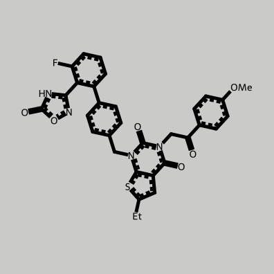 CCc1cc2c(=O)n(CC(=O)c3ccc(OC)cc3)c(=O)n(Cc3ccc(-c4cccc(F)c4-c4noc(=O)[nH]4)cc3)c2s1